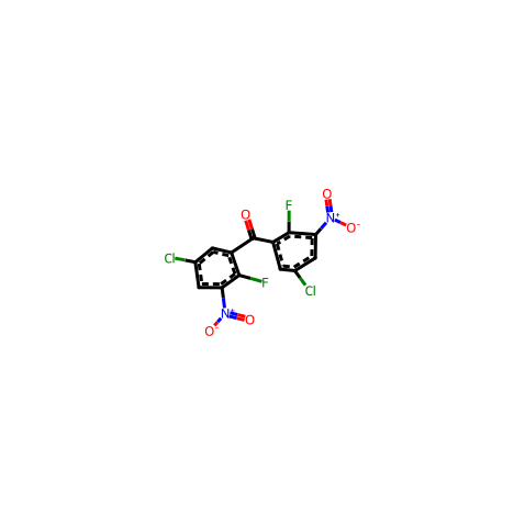 O=C(c1cc(Cl)cc([N+](=O)[O-])c1F)c1cc(Cl)cc([N+](=O)[O-])c1F